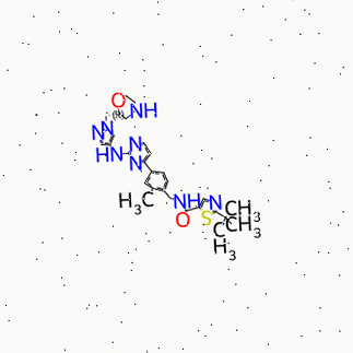 Cc1cc(-c2ccnc(Nc3cnn(C[C@H]4CNCCO4)c3)n2)ccc1CNC(=O)c1cnc(C(C)(C)C)s1